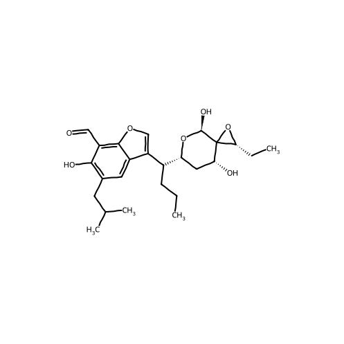 CCCC(c1coc2c(C=O)c(O)c(CC(C)C)cc12)[C@H]1C[C@@H](O)C2(O[C@@H]2CC)[C@H](O)O1